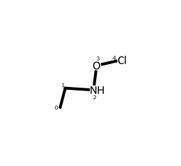 CCNOCl